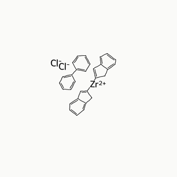 C1=[C]([Zr+2][C]2=Cc3ccccc3C2)Cc2ccccc21.[Cl-].[Cl-].c1ccc(-c2ccccc2)cc1